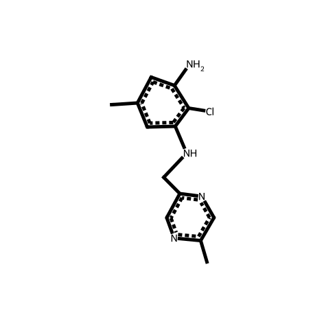 Cc1cc(N)c(Cl)c(NCc2cnc(C)cn2)c1